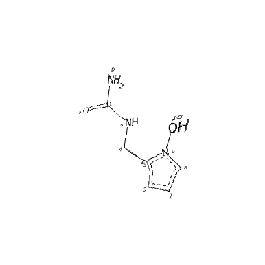 NC(=O)NCc1cccn1O